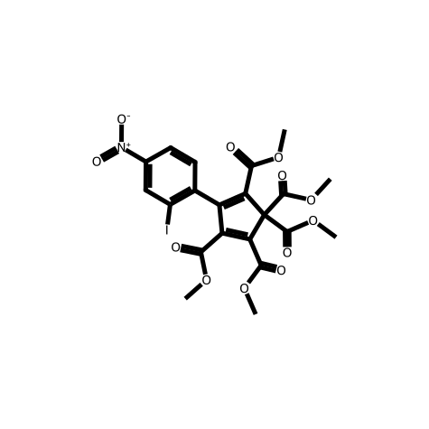 COC(=O)C1=C(C(=O)OC)C(C(=O)OC)(C(=O)OC)C(C(=O)OC)=C1c1ccc([N+](=O)[O-])cc1I